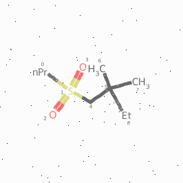 CCCS(=O)(=O)CC(C)(C)CC